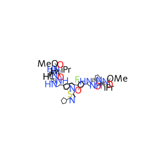 COC(=O)N[C@H](C(=O)N1CCC[C@H]1C1NCC(c2cc(F)c3c(c2)OC(c2cnc(C4CCCC4)s2)n2c-3cc3cc(C4CNC([C@@H]5C[C@H]6C[C@H]6N5C(=O)[C@H](NC(=O)OC)C(C)C)N4)ccc32)N1)C(C)C